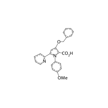 COc1ccc(-n2c(-c3ccccn3)cc(OCc3ccccc3)c2C(=O)O)cc1